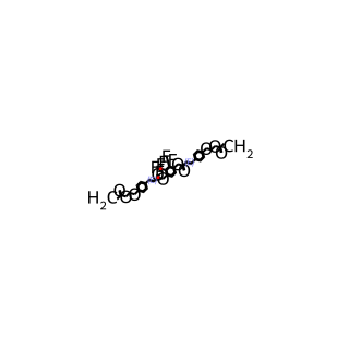 C=CC(=O)OCOc1ccc(/C=C/C(=O)Oc2ccc(OC(=O)/C=C/c3ccc(OCOC(=O)C=C)cc3)c(C(F)(F)F)c2C(F)(F)F)cc1